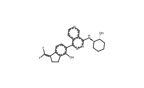 Oc1c(-c2nnc(N[C@@H]3CCCC[C@H]3O)c3cnccc23)ccc2c1CCC2=C(F)F